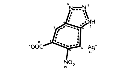 O=C([O-])c1cc2nn[nH]c2cc1[N+](=O)[O-].[Ag+]